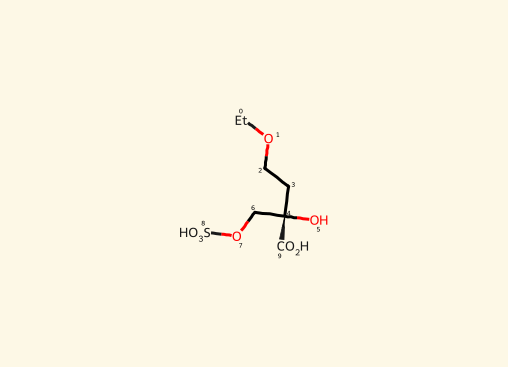 CCOCC[C@](O)(COS(=O)(=O)O)C(=O)O